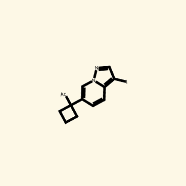 CC(=O)C1(c2ccc3c(I)cnn3c2)CCC1